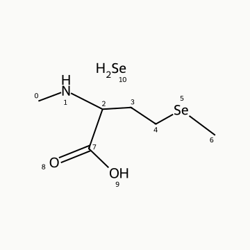 CNC(CC[Se]C)C(=O)O.[SeH2]